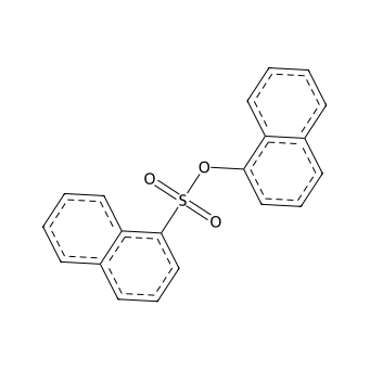 O=S(=O)(Oc1cccc2ccccc12)c1cccc2ccccc12